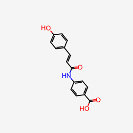 O=C(C=Cc1ccc(O)cc1)Nc1ccc(C(=O)O)cc1